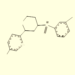 Cc1cccc(S(=O)(=O)C2CCOC(c3ccc(C(F)(F)F)cn3)C2)c1